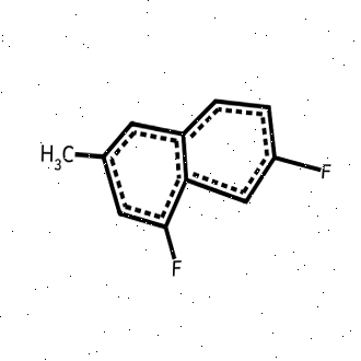 Cc1cc(F)c2cc(F)ccc2c1